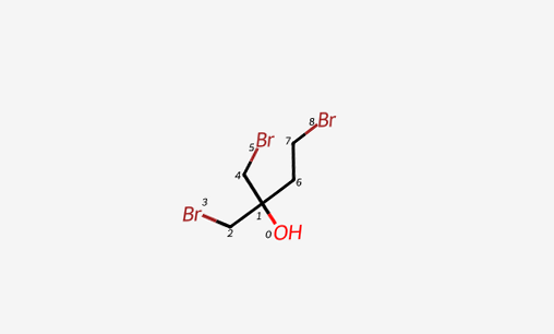 OC(CBr)(CBr)CCBr